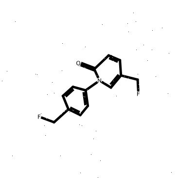 O=c1ccc(CF)cn1-c1ccc(CF)cc1